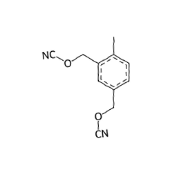 Cc1ccc(COC#N)cc1COC#N